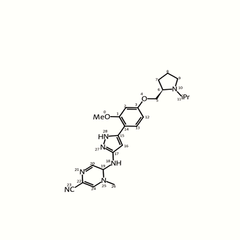 COc1cc(OC[C@H]2CCCN2C(C)C)ccc1-c1cc(NC2C=NC(C#N)=CN2C)n[nH]1